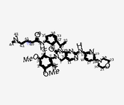 COc1cc(OC)c(F)c(N2Cc3cnc(Nc4ccc(N5CCOCC5)cn4)nc3N(C(C)c3cccc(NC(=O)/C=C/CN(C)C)c3)C2=O)c1F